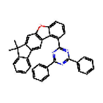 CC1(C)c2ccccc2-c2cc3c(cc21)oc1cccc(-c2nc(-c4ccccc4)nc(-c4ccccc4)n2)c13